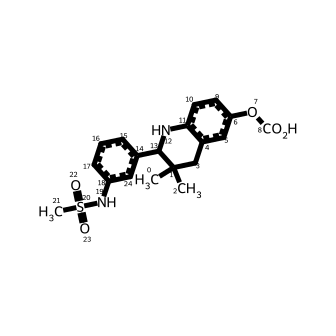 CC1(C)Cc2cc(OC(=O)O)ccc2NC1c1cccc(NS(C)(=O)=O)c1